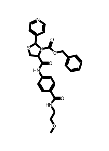 COCCNC(=O)c1ccc(NC(=O)C2CSC(c3ccncc3)N2C(=O)OCc2ccccc2)cc1